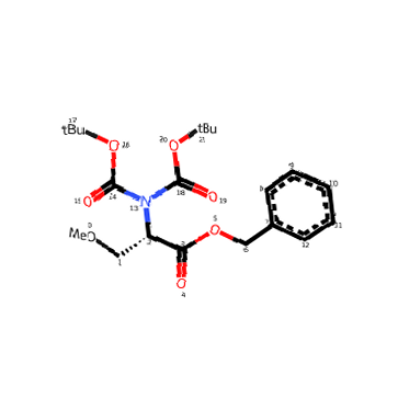 COC[C@@H](C(=O)OCc1ccccc1)N(C(=O)OC(C)(C)C)C(=O)OC(C)(C)C